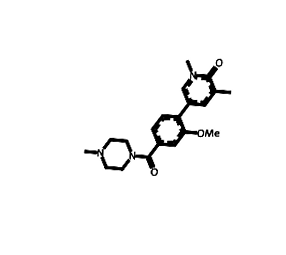 COc1cc(C(=O)N2CCN(C)CC2)ccc1-c1cc(C)c(=O)n(C)c1